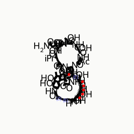 CC(=O)C1NC(=O)C(O)CNC(=O)C(C(C)O)NC(=O)C(C(O)C(O)C(N)=O)NC(=O)C(C(C)C)CC(=O)C(CO)NC(=O)C(CNC(=O)C(C)NC(=O)COc2cc3c(O)c4c(O)c(C)c5c(c24)C(=O)[C@@](C)(O/C=C/[C@H](CO)[C@@H](C)[C@@H](C)[C@H](C)[C@H](O)[C@H](C)[C@@H](O)[C@@H](C)/C=C/C=C(/C)C(=O)N3)O5)NC1=O